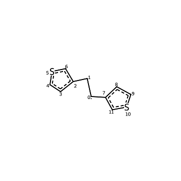 [CH](Cc1ccsc1)c1ccsc1